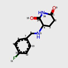 O=C1CCC(NCc2ccc(F)cc2)C(=O)N1